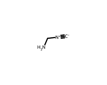 [C-]#[N+]CN